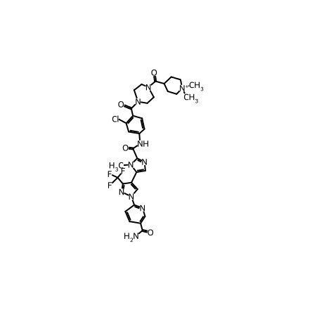 Cn1c(-c2cn(-c3ccc(C(N)=O)cn3)nc2C(F)(F)F)cnc1C(=O)Nc1ccc(C(=O)N2CCN(C(=O)C3CC[N+](C)(C)CC3)CC2)c(Cl)c1